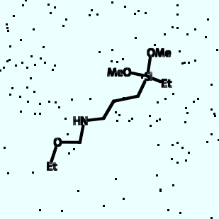 CCOCNCCC[Si](CC)(OC)OC